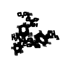 Cc1ccc(S(=O)(=O)OC(C)(c2cccc(NC(=O)OCC(Cl)(Cl)Cl)c2)C(N)c2ccccc2)cc1